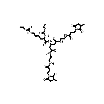 CCOC(=O)NCCCCC(NC(=O)OCC)C(=O)NC(CC(=O)NCCNC(=O)CCN1C(=O)CC(C)C1=O)CC(=O)NCCNC(=O)CCN1C(=O)CC(C)C1=O